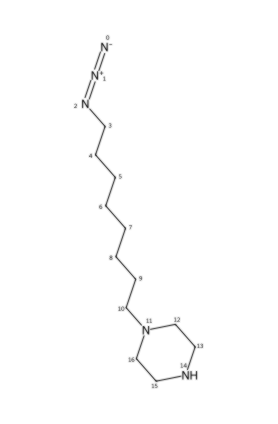 [N-]=[N+]=NCCCCCCCCN1CCNCC1